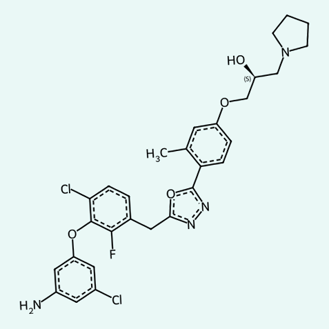 Cc1cc(OC[C@@H](O)CN2CCCC2)ccc1-c1nnc(Cc2ccc(Cl)c(Oc3cc(N)cc(Cl)c3)c2F)o1